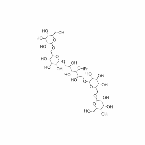 CC(C)O[C@@H]([C@H](O)[C@H](O)CO[C@@H]1O[C@H](CO[C@@H]2O[C@H](CO)[C@@H](O)[C@H](O)[C@H]2O)[C@@H](O)[C@H](O)[C@H]1O)[C@H](O)CO[C@@H]1O[C@H](CO[C@@H]2O[C@H](CO)[C@@H](O)[C@H](O)[C@H]2O)[C@@H](O)[C@H](O)[C@H]1O